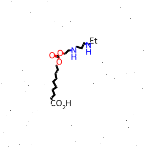 CCNCCCNCCOC(=O)OCCCCCCCCCC(=O)O